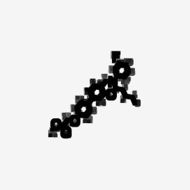 CCCCC(=O)N(Cc1ccc(-c2ccc(OCC(=O)OC)cc2)cc1)c1cccc(F)c1